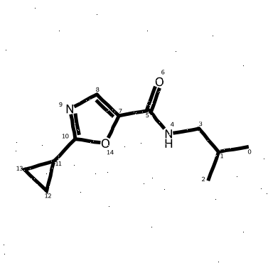 CC(C)CNC(=O)c1cnc(C2CC2)o1